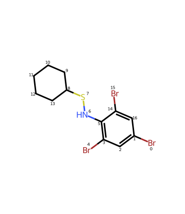 Brc1cc(Br)c(NSC2CCCCC2)c(Br)c1